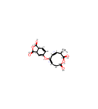 CC1/C=C\C(OC2=CC3C(=O)OC(=O)C3C=C2)=C/CC(=O)OC1=O